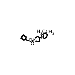 CC1(C)CCCN(C2CCN(C(=O)OCc3ccccc3)CC2)C1